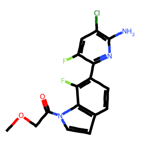 COCC(=O)n1ccc2ccc(-c3nc(N)c(Cl)cc3F)c(F)c21